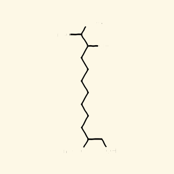 CCCCCCC(CCCC)C(O)CCCCCCCC(CO)CCCCC